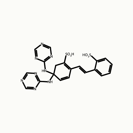 O=S(=O)(O)C1=C(C=Cc2ccccc2S(=O)(=O)O)C=CC(Nc2ncncn2)(Nc2ncncn2)C1